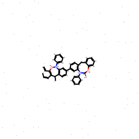 C=CC1=C(/C=C\C)C(C)c2ccc(-c3ccc4c(c3)N(c3ccccc3)[C@H](I)Oc3ccccc3C4)cc2N(c2ccccc2)O1